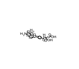 CN(CC1=CN=C2N=C(N)N(Cl)C(N)=C2N1Cl)c1ccc(C(=O)N[C@@H](CCC(=O)O)C(=O)O)cc1